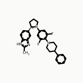 Cc1nc2cc([C@H]3CCCN3c3cc(F)c(N4CCC(c5ccccc5)CC4)c(F)c3)ccc2[nH]1